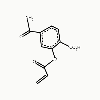 C=CC(=O)Oc1cc(C(N)=O)ccc1C(=O)O